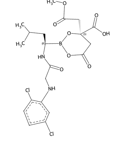 COC(=O)C[C@]1(C(=O)O)CC(=O)OB([C@H](CC(C)C)NC(=O)CNc2cc(Cl)ccc2Cl)O1